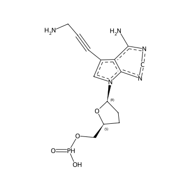 NCC#Cc1cn([C@H]2CC[C@@H](CO[PH](=O)O)O2)c2ncnc(N)c12